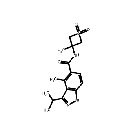 Cc1c(C(=O)NC2(C)CS(=O)(=O)C2)ccc2[nH]nc(C(C)C)c12